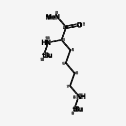 CNC(=O)C(CCCCNC(C)(C)C)NC(C)(C)C